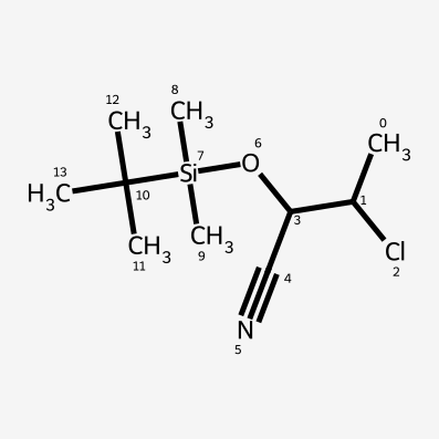 CC(Cl)C(C#N)O[Si](C)(C)C(C)(C)C